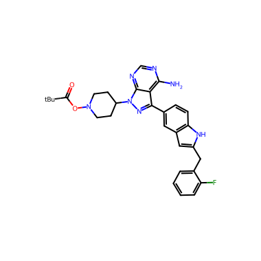 CC(C)(C)C(=O)ON1CCC(n2nc(-c3ccc4[nH]c(Cc5ccccc5F)cc4c3)c3c(N)ncnc32)CC1